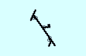 CCCCCC(CCCCC)CC(=O)OCCCCCCCCCC(CCCCCCCCCOC(=O)CC(CCCCC)CCCCC)OCCCN(C)C(C)C